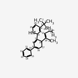 BC(C)(C)C1=CC(C2=CC(c3ccccc3)=CCC2C(C)=CCC)NC=C1